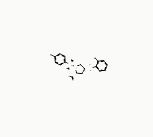 O=C(O)[C@@H]1C[C@@H](S(=O)(=O)c2ccccc2Cl)CN1S(=O)(=O)c1ccc(Cl)cc1